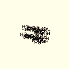 C/C=C1/[C@H](O[C@@H]2O[C@H](CO)[C@@H](O)[C@H](O)[C@H]2O)OC=C(C(=O)OC)[C@H]1CC(O)OCCc1ccc(O)c(O)c1.C/C=C1/[C@H](O[C@@H]2O[C@H](CO)[C@@H](O)[C@H](O)[C@H]2O)OC=C(C(=O)OC)[C@H]1CC(O)OCCc1ccc(O)c(O)c1